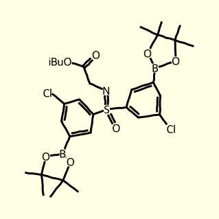 CC(C)COC(=O)CN=S(=O)(c1cc(Cl)cc(B2OC(C)(C)C(C)(C)O2)c1)c1cc(Cl)cc(B2OC(C)(C)C(C)(C)O2)c1